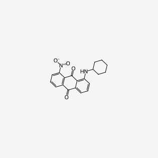 O=C1c2cccc(NC3CCCCC3)c2C(=O)c2c1cccc2[N+](=O)[O-]